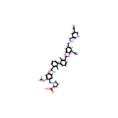 Cc1c(-c2nc3cc(CN4CCC[C@H]4C(=O)O)c(OC(F)F)cc3o2)cccc1-c1cccc(-c2nc3cc(CNCc4cncc(C#N)c4)cc(C#N)c3o2)c1C